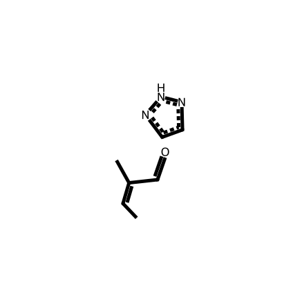 CC=C(C)C=O.c1cn[nH]n1